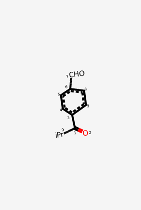 CC(C)C(=O)c1ccc(C=O)cc1